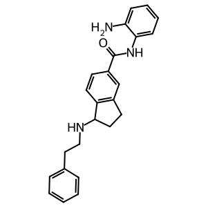 Nc1ccccc1NC(=O)c1ccc2c(c1)CCC2NCCc1ccccc1